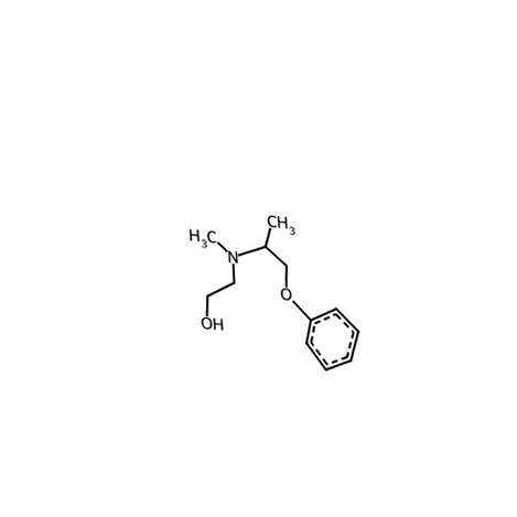 CC(COc1ccccc1)N(C)CCO